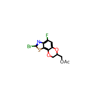 CC(=O)OCC1COc2c(cc(F)c3nc(Br)sc23)O1